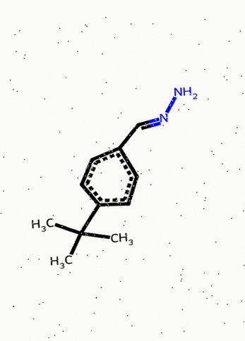 CC(C)(C)c1ccc(/C=N/N)cc1